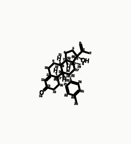 C=C(C)[C@]1(O)CC[C@H]2[C@@H]3CCC4=CC(=O)CC[C@@H]4[C@H]3[C@@H](c3ccc(C)cc3)C[C@@]21C